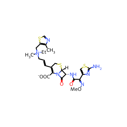 CC[N+](C)(C/C=C/C1=C(C(=O)[O-])N2C(=O)[C@@H](NC(=O)/C(=N\OC)c3csc(N)n3)[C@H]2SC1)Cc1scnc1C